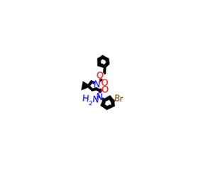 NN(C(=O)C1CC2(CC2)CN1C(=O)OCc1ccccc1)c1cccc(Br)c1